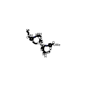 COC(=O)c1ccc2c(c1)OCCOCc1[nH]ncc1-c1cc3c(nn(Cn4ncc5c4OCCCOc4ccc(C(=O)NCCCN(C)C)cc4/C=C/c4n[nH]c6cnc-5cc46)c3cn1)/C=C/2